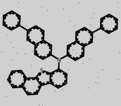 c1ccc(-c2ccc3cc(N(c4ccc5cc(-c6ccccc6)ccc5c4)c4cccc5c4sc4c6ccccc6ccc54)ccc3c2)cc1